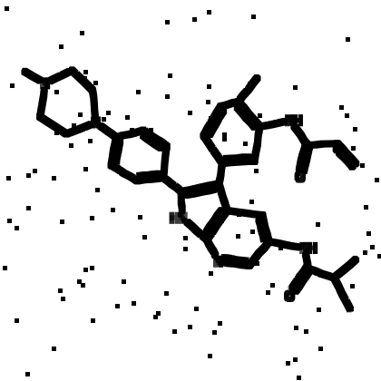 C=CC(=O)Nc1cc(-c2c(-c3ccc(N4CCN(C)CC4)cc3)[nH]c3ncc(NC(=O)C(C)C)cc23)ccc1C